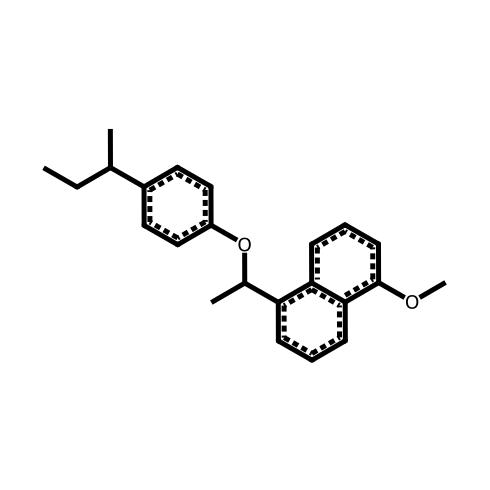 CCC(C)c1ccc(OC(C)c2cccc3c(OC)cccc23)cc1